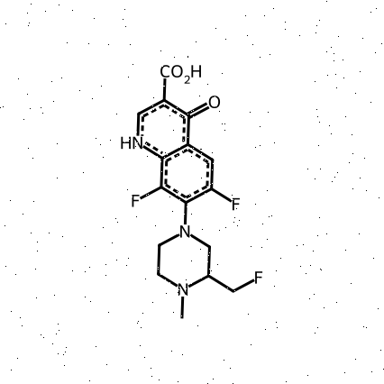 CN1CCN(c2c(F)cc3c(=O)c(C(=O)O)c[nH]c3c2F)CC1CF